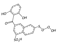 O=C(c1cc(S(=O)(=O)O)c2ccc(SOOO)cc2c1)c1c(O)cccc1O